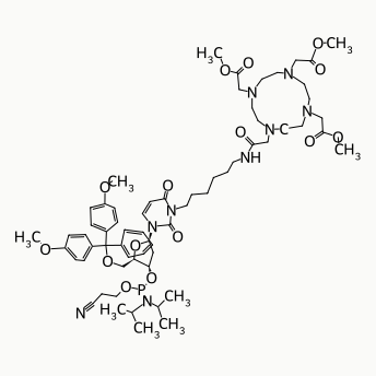 COC(=O)CN1CCN(CC(=O)NCCCCCCn2c(=O)ccn([C@H]3C[C@@H](OP(OCCC#N)N(C(C)C)C(C)C)[C@@H](COC(c4ccccc4)(c4ccc(OC)cc4)c4ccc(OC)cc4)O3)c2=O)CCN(CC(=O)OC)CCN(CC(=O)OC)CC1